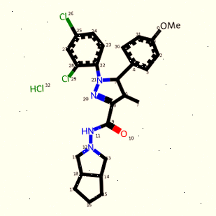 COc1ccc(C2C(C)C(C(=O)NN3CC4CCCC4C3)=NN2c2ccc(Cl)cc2Cl)cc1.Cl